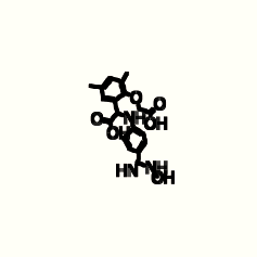 Cc1cc(C)c(OCC(=O)O)c(C(Nc2ccc(C(=N)NO)cc2)C(=O)O)c1